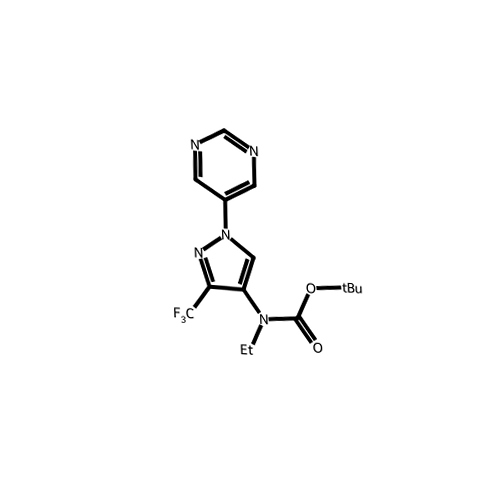 CCN(C(=O)OC(C)(C)C)c1cn(-c2cncnc2)nc1C(F)(F)F